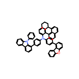 c1ccc(-n2c3ccccc3c3cccc(-c4ccc(N(c5ccc(-c6cccc7oc8ccccc8c67)cc5)c5ccccc5-c5cccc6cccc(C7CCCCC7)c56)cc4)c32)cc1